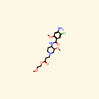 COCCOC(=O)CCN1CCC(NC(=O)c2cc(Cl)c(N)cc2OC)C(OC)C1